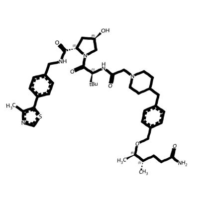 Cc1ncsc1-c1ccc(CNC(=O)[C@@H]2C[C@@H](O)CN2C(=O)[C@@H](NC(=O)CN2CCC(Cc3ccc(CO[C@H](C)[C@@H](C)CCC(N)=O)cc3)CC2)C(C)(C)C)cc1